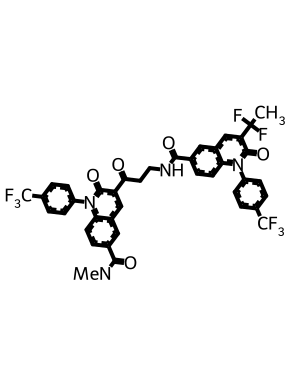 CNC(=O)c1ccc2c(c1)cc(C(=O)CCNC(=O)c1ccc3c(c1)cc(C(C)(F)F)c(=O)n3-c1ccc(C(F)(F)F)cc1)c(=O)n2-c1ccc(C(F)(F)F)cc1